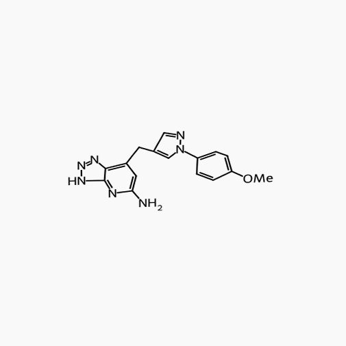 COc1ccc(-n2cc(Cc3cc(N)nc4[nH]nnc34)cn2)cc1